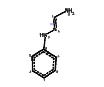 N/C=N/Nc1ccccc1